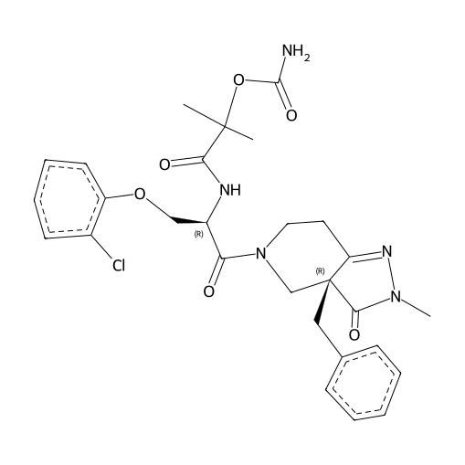 CN1N=C2CCN(C(=O)[C@@H](COc3ccccc3Cl)NC(=O)C(C)(C)OC(N)=O)C[C@@]2(Cc2ccccc2)C1=O